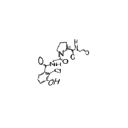 O=CCNC(=O)[C@@H]1CCCN1C(=O)CNC(=O)c1cccc(O)c1Cl